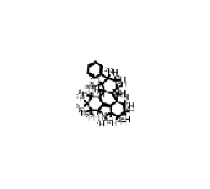 [2H]N1C2([2H])C3=C4C1([2H])C([2H])([2H])C([2H])([2H])C([2H])([2H])C4([2H])C1([2H])C([2H])([2H])C([2H])(c4ccccc4)C([2H])([2H])C([2H])([2H])C1([2H])C3([2H])C([2H])([2H])C([2H])([2H])C2([2H])[2H]